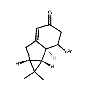 CCCC1CC(=O)C=C2C[C@@H]3[C@H]([C@@H]21)C3(C)C